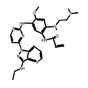 C=CC(=O)Nc1cc(Nc2nccc(-n3nc(NCC)c4ncccc43)n2)c(OC)cc1N(C)CCN(C)C